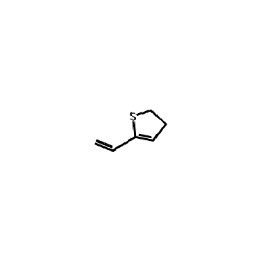 C=CC1=CCCS1